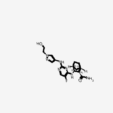 NC(=O)[C@@H]1[C@H]2CC[C@H](C2)[C@@H]1Nc1nc(Nc2cnn(CCO)c2)ncc1F